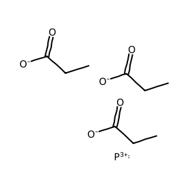 CCC(=O)[O-].CCC(=O)[O-].CCC(=O)[O-].[P+3]